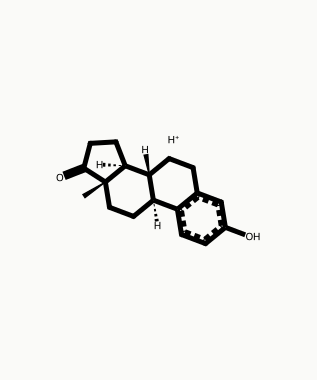 C[C@]12CC[C@@H]3c4ccc(O)cc4CC[C@H]3[C@@H]1CCC2=O.[H+]